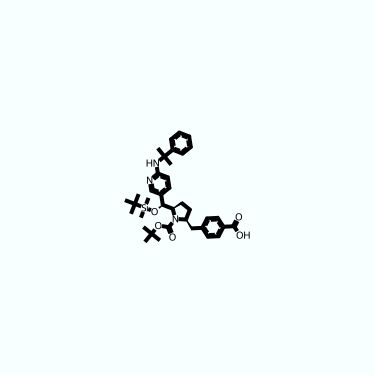 CC(C)(C)OC(=O)N1[C@H](Cc2ccc(C(=O)O)cc2)CC[C@@H]1[C@H](O[Si](C)(C)C(C)(C)C)c1ccc(NC(C)(C)c2ccccc2)nc1